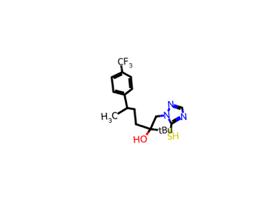 CC(CCC(O)(Cn1ncnc1S)C(C)(C)C)c1ccc(C(F)(F)F)cc1